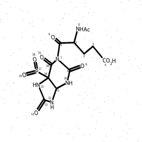 CC(=O)NC(CCC(=O)O)C(=O)N1C(=O)NC2NC(=O)NC2(P(=O)=O)C1=O